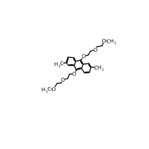 COCCOCCOc1c2ccc(C)cc2c(OCCOCCOC)c2ccc(C)cc12